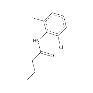 CCCC(=O)Nc1c(C)cccc1Cl